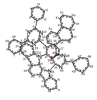 c1ccc(-c2nc(-c3ccccc3)nc(-c3ccccc3-n3c4ccccc4c4ccc5c6ccccc6n(-c6nc(-c7ccccc7)nc(-c7cccc8c7ccc7ccccc78)n6)c5c43)n2)cc1